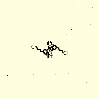 CC(C)c1cc(CCCCCl)cc2c1OC1OC2Oc2c(C(C)C)cc(CCCCCl)cc21